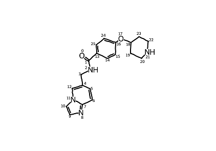 O=C(NCc1ccc2nccn2c1)c1ccc(OC2CCNCC2)cc1